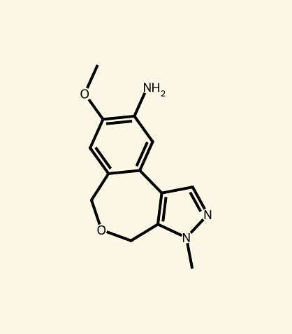 COc1cc2c(cc1N)-c1cnn(C)c1COC2